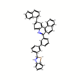 c1cc(-c2cccc(-c3nc4ccc(-c5cccc6ccccc56)cc4c4c3ccc3ccccc34)c2)cc(-c2nc3ccccc3s2)c1